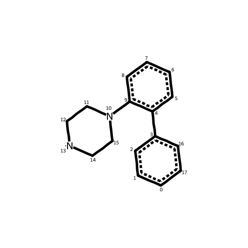 c1ccc(-c2ccccc2N2CC[N]CC2)cc1